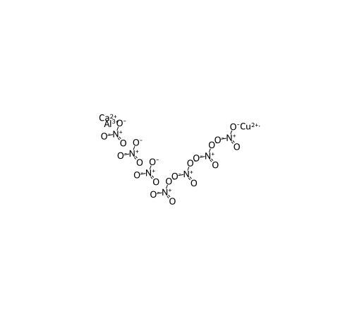 O=[N+]([O-])[O-].O=[N+]([O-])[O-].O=[N+]([O-])[O-].O=[N+]([O-])[O-].O=[N+]([O-])[O-].O=[N+]([O-])[O-].O=[N+]([O-])[O-].[Al+3].[Ca+2].[Cu+2]